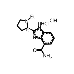 CCN1CCC[C@@H]1c1nc2c(C(N)=O)cccc2[nH]1.Cl.Cl